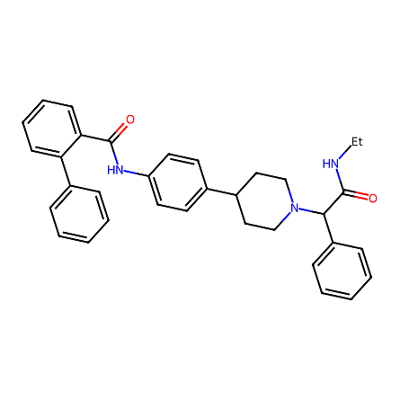 CCNC(=O)C(c1ccccc1)N1CCC(c2ccc(NC(=O)c3ccccc3-c3ccccc3)cc2)CC1